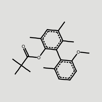 COc1cccc(C)c1-c1c(C)c(C)cc(C)c1OC(=O)C(C)(C)C